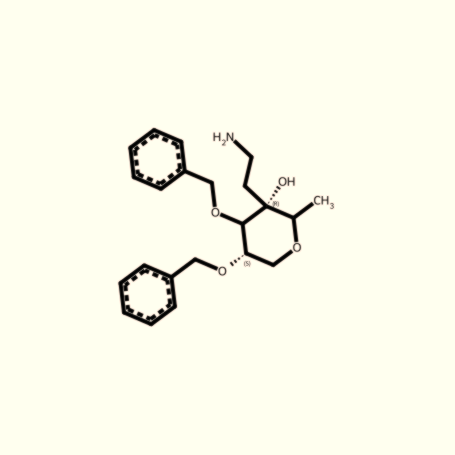 CC1OC[C@H](OCc2ccccc2)C(OCc2ccccc2)[C@@]1(O)CCN